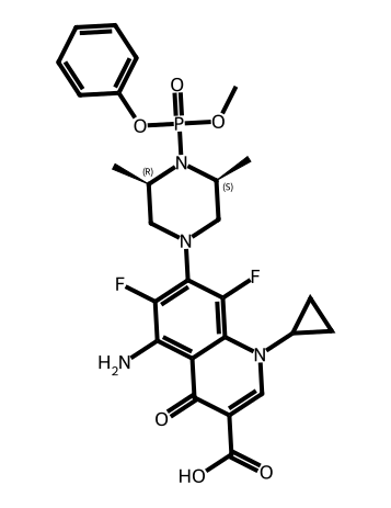 COP(=O)(Oc1ccccc1)N1[C@H](C)CN(c2c(F)c(N)c3c(=O)c(C(=O)O)cn(C4CC4)c3c2F)C[C@@H]1C